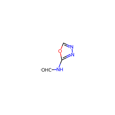 O=[C]Nc1nnco1